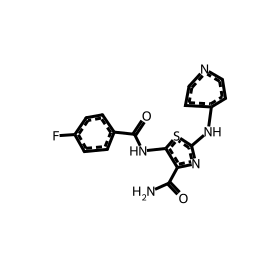 NC(=O)c1nc(Nc2ccncc2)sc1NC(=O)c1ccc(F)cc1